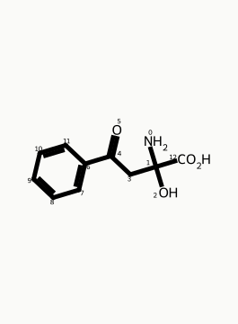 NC(O)(CC(=O)c1ccccc1)C(=O)O